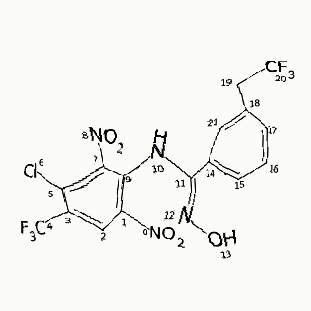 O=[N+]([O-])c1cc(C(F)(F)F)c(Cl)c([N+](=O)[O-])c1NC(=NO)c1cccc(CC(F)(F)F)c1